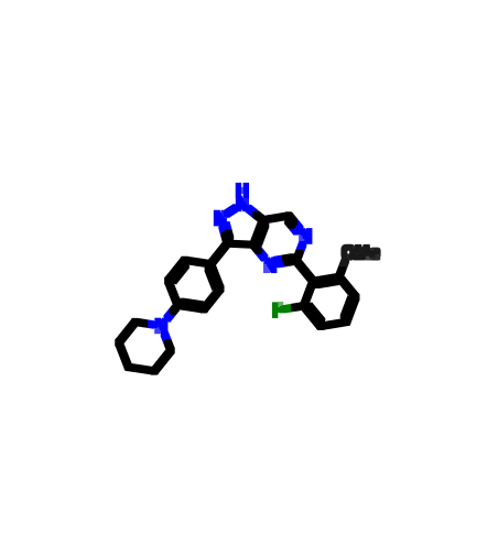 COc1cccc(F)c1-c1ncc2[nH]nc(-c3ccc(N4CCCCC4)cc3)c2n1